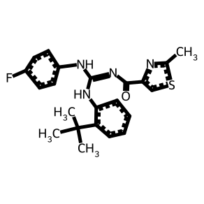 Cc1nc(C(=O)/N=C(/Nc2ccc(F)cc2)Nc2ccccc2C(C)(C)C)cs1